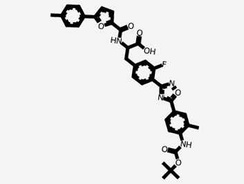 Cc1ccc(-c2ccc(C(=O)NC(Cc3ccc(-c4noc(-c5ccc(NC(=O)OC(C)(C)C)c(C)c5)n4)c(F)c3)C(=O)O)o2)cc1